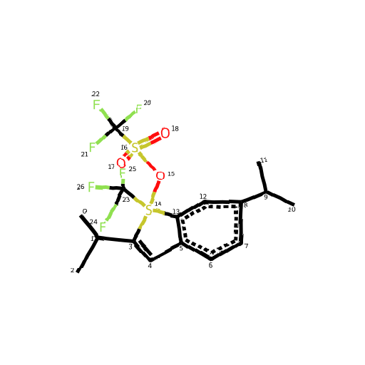 CC(C)C1=Cc2ccc(C(C)C)cc2S1(OS(=O)(=O)C(F)(F)F)C(F)(F)F